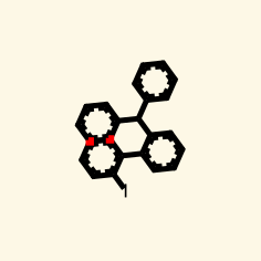 Ic1ccccc1-c1ccccc1C(c1ccccc1)c1ccccc1